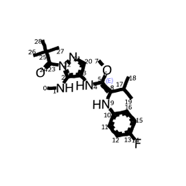 CNc1c(N/C(OC)=C(\Nc2ccc(F)cc2)C(C)C)cnn1C(=O)C(C)(C)C